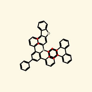 c1ccc(-c2cc(-c3ccccc3)c(N(c3ccc(-c4ccccc4-c4ccccc4-c4ccccc4)cc3)c3ccc4c(c3)oc3ccccc34)c(-c3ccccc3)c2)cc1